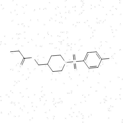 CCC(=O)OCC1CCN(S(=O)(=O)c2ccc(Br)cc2)CC1